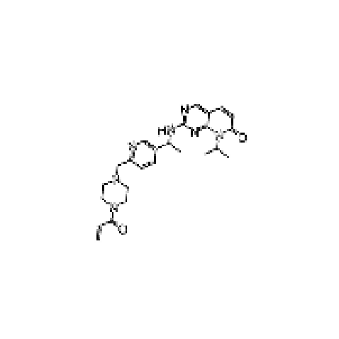 C=CC(=O)N1CCN(Cc2ccc(C(C)Nc3ncc4ccc(=O)n(C(C)C)c4n3)cn2)CC1